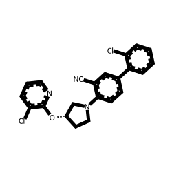 N#Cc1cc(-c2ccccc2Cl)ccc1N1CC[C@H](Oc2ncccc2Cl)C1